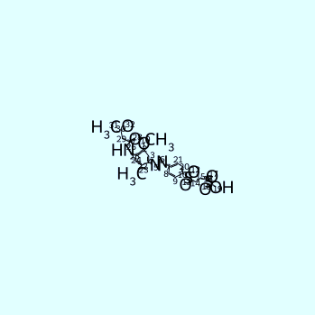 COc1cc(N=Nc2ccc(S(=O)(=O)CCS(=O)(=O)O)cc2)c(C)cc1NC(=O)CC(C)=O